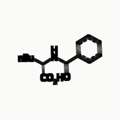 CCCCC(NC(=O)c1ccccc1)C(=O)O